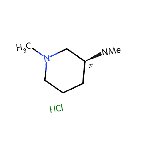 CN[C@H]1CCCN(C)C1.Cl